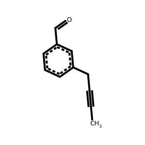 CC#CCc1cccc(C=O)c1